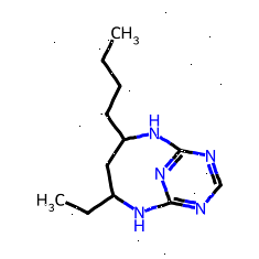 CCC[CH]C1CC(CC)Nc2ncnc(n2)N1